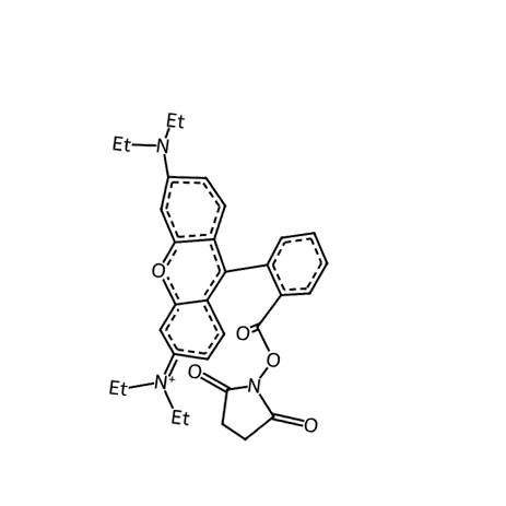 CCN(CC)c1ccc2c(-c3ccccc3C(=O)ON3C(=O)CCC3=O)c3ccc(=[N+](CC)CC)cc-3oc2c1